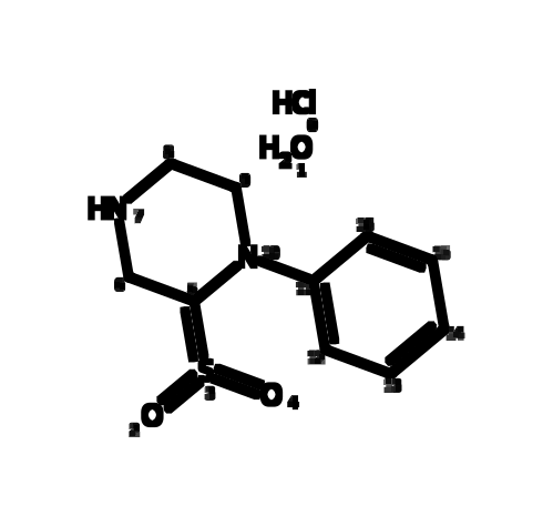 Cl.O.O=S(=O)=C1CNCCN1c1ccccc1